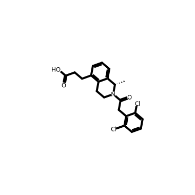 C[C@H]1c2cccc(CCC(=O)O)c2CCN1C(=O)Cc1c(Cl)cccc1Cl